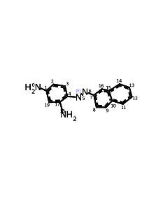 Nc1ccc(/N=N/c2ccc3ccccc3c2)c(N)c1